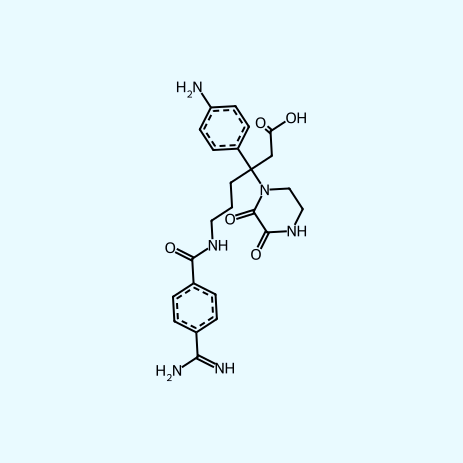 N=C(N)c1ccc(C(=O)NCCCC(CC(=O)O)(c2ccc(N)cc2)N2CCNC(=O)C2=O)cc1